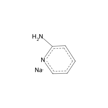 Nc1ccccn1.[Na]